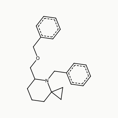 c1ccc(COCC2CCCC3(CC3)N2Cc2ccccc2)cc1